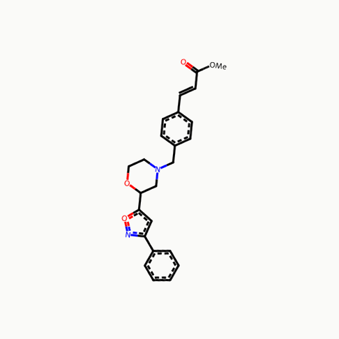 COC(=O)C=Cc1ccc(CN2CCOC(c3cc(-c4ccccc4)no3)C2)cc1